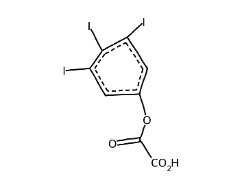 O=C(O)C(=O)Oc1cc(I)c(I)c(I)c1